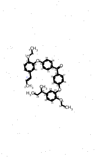 C/C=C/c1ccc(OCC)c(Oc2ccc(C(=O)c3ccc(Oc4cc(C(C)CC)ccc4OCC)cc3)cc2)c1